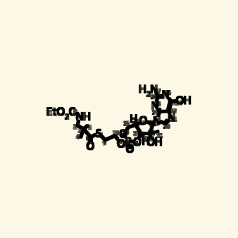 CCOC(=O)NCC(C)(C)C(=O)SCCO[P@@]1(=O)OC[C@H]2O[C@@H](n3cnc4c(O)nc(N)nc43)[C@](C)(O)[C@@H]2O1